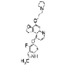 Cc1cc2c(F)c(Oc3ccnc4cc(OCCCN5CCCC5)c5c(c34)CCO5)ccc2[nH]1